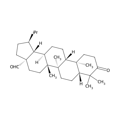 CC(C)[C@@H]1CC[C@]2(C=O)CC[C@]3(C)[C@H](CC[C@@H]4[C@@]5(C)CCC(=O)C(C)(C)[C@@H]5CC[C@]43C)[C@@H]12